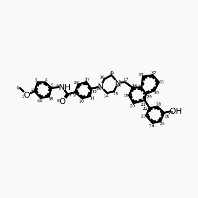 COc1ccc(NC(=O)c2ccc(N3CCN(Cc4ccc(-c5cccc(O)c5)c5ccccc45)CC3)cc2)cc1